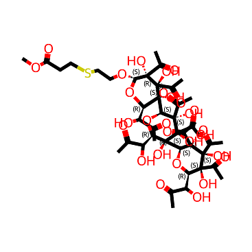 COC(=O)CCSCCO[C@H]1O[C@H](C(O)C(C)=O)[C@](O)([C@@H]2O[C@H](C(O)C(C)=O)[C@@](O)([C@@H]3O[C@H](C(O)C(C)=O)[C@@](O)(C(C)=O)[C@@](O)(C(C)=O)[C@]3(O)C(C)=O)[C@@](O)(C(C)=O)[C@]2(O)C(C)=O)[C@@](O)(C(C)=O)[C@]1(O)C(C)=O